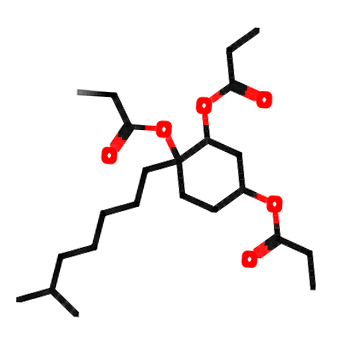 CCC(=O)OC1CCC(CCCCCC(C)C)(OC(=O)CC)C(OC(=O)CC)C1